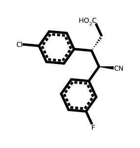 N#C[C@@H](c1cccc(F)c1)[C@@H](CC(=O)O)c1ccc(Cl)cc1